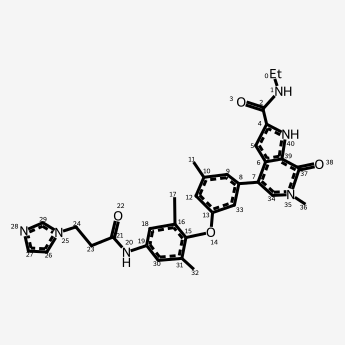 CCNC(=O)c1cc2c(-c3cc(C)cc(Oc4c(C)cc(NC(=O)CCn5ccnc5)cc4C)c3)cn(C)c(=O)c2[nH]1